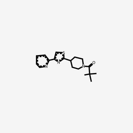 CC(C)(C)C(=O)N1CCC(c2nc(-c3ccccn3)cs2)CC1